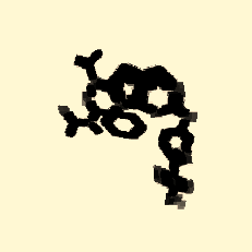 CC(=O)N(C)C1=NN(C(C)C)c2cc3cnc(Nc4ccc(S(N)(=O)=O)nc4)nc3n2C12CCCCC2